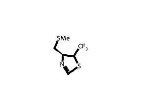 CSC[C@@H]1N=CSC1C(F)(F)F